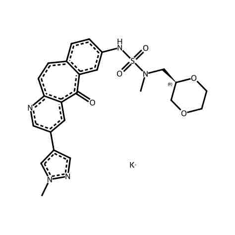 CN(C[C@@H]1COCCO1)S(=O)(=O)Nc1ccc2ccc3ncc(-c4cnn(C)c4)cc3c(=O)c2c1.[K]